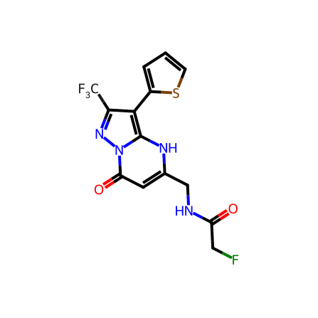 O=C(CF)NCc1cc(=O)n2nc(C(F)(F)F)c(-c3cccs3)c2[nH]1